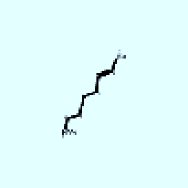 CCC(C)C=CCCCCNC